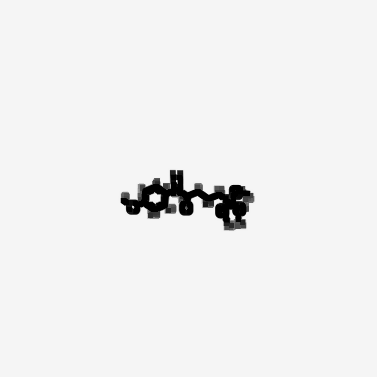 COc1ccc(NC(=O)CCC[Si](OC)(OC)OC)cc1